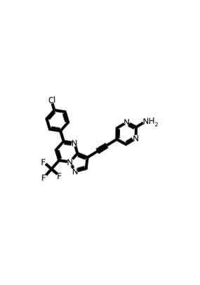 Nc1ncc(C#Cc2cnn3c(C(F)(F)F)cc(-c4ccc(Cl)cc4)nc23)cn1